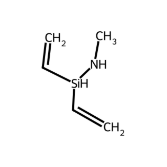 C=C[SiH](C=C)NC